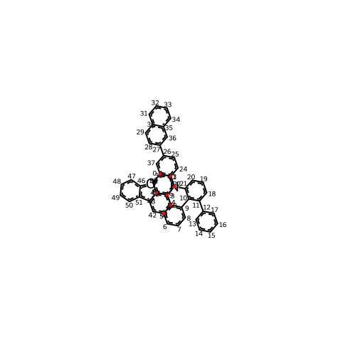 c1ccc(-c2ccccc2-c2c(-c3ccccc3)cccc2N(c2ccc(-c3ccc4ccccc4c3)cc2)c2cccc3c2oc2ccccc23)cc1